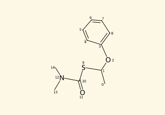 CC(Oc1[c]cccc1)SC(=O)N(C)C